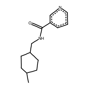 CC1CCC(CNC(=O)c2cccnc2)CC1